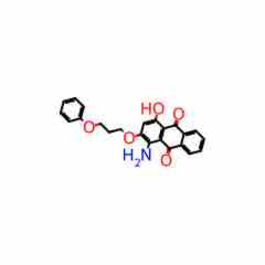 Nc1c(OCCCOc2ccccc2)cc(O)c2c1C(=O)c1ccccc1C2=O